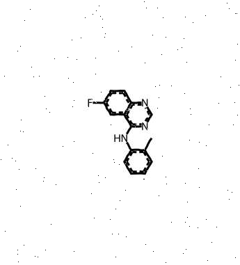 Cc1ccccc1Nc1ncnc2ccc(F)cc12